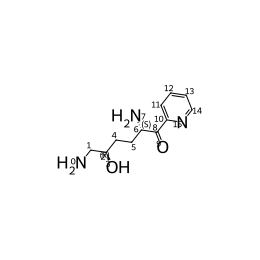 NC[C@H](O)CC[C@H](N)C(=O)c1ccccn1